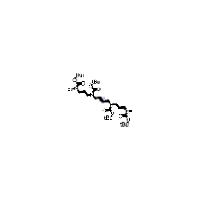 CCN(CCCN(C/C=C/CN(CCCN(C)C(=O)OC(C)(C)C)C(=O)OC(C)(C)C)C(=O)OC(C)(C)C)C(=O)OC(C)(C)C